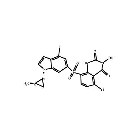 C[C@@H]1C[C@H]1n1ccc2c(F)cc(S(=O)(=O)c3ccc(Cl)c4c(=O)n(O)c(=O)[nH]c34)cc21